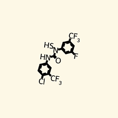 O=C(Nc1ccc(Cl)c(C(F)(F)F)c1)N(S)c1cc(F)cc(C(F)(F)F)c1